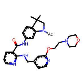 CC(=O)N1CC(C)(C)c2ccc(NC(=O)c3cccnc3NCc3ccnc(OCCN4CCOCC4)c3)cc21